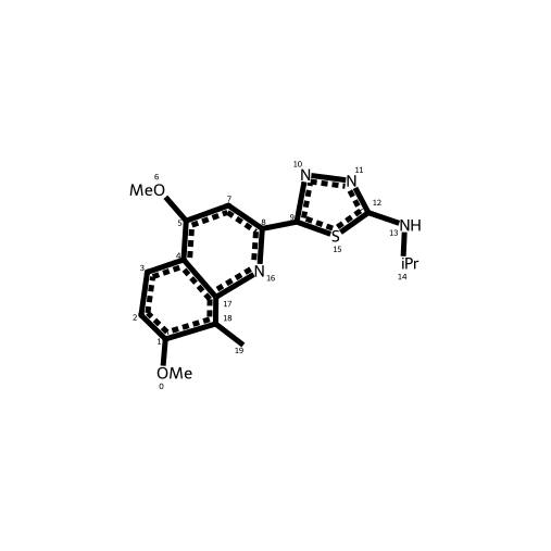 COc1ccc2c(OC)cc(-c3nnc(NC(C)C)s3)nc2c1C